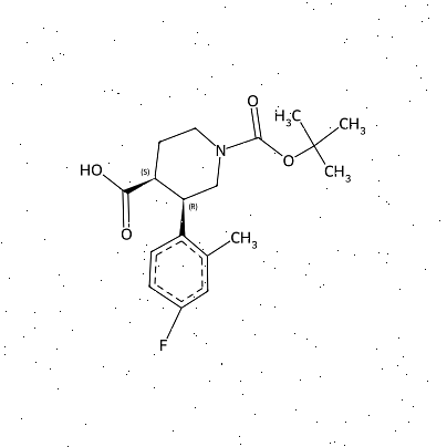 Cc1cc(F)ccc1[C@@H]1CN(C(=O)OC(C)(C)C)CC[C@@H]1C(=O)O